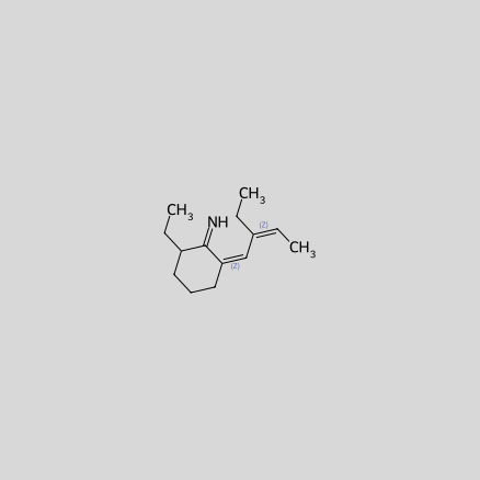 C/C=C(\C=C1\CCCC(CC)C1=N)CC